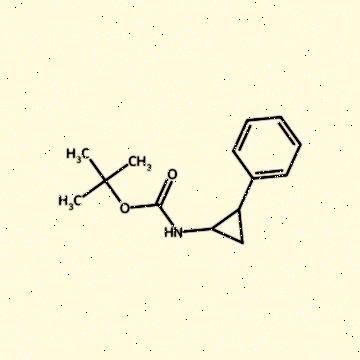 CC(C)(C)OC(=O)NC1CC1c1ccccc1